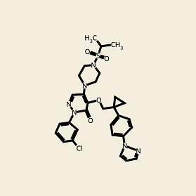 CC(C)S(=O)(=O)N1CCN(c2cnn(-c3cccc(Cl)c3)c(=O)c2OCC2(c3ccc(-n4cccn4)cc3)CC2)CC1